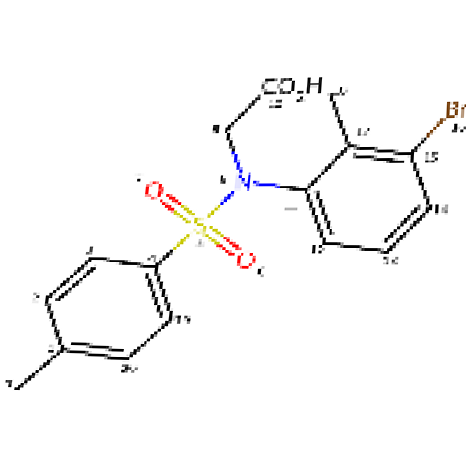 Cc1ccc(S(=O)(=O)N(CC(=O)O)c2cccc(Br)c2C)cc1